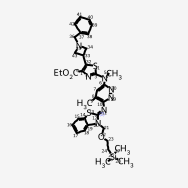 CCOC(=O)c1nc(N(C)c2cc(C)c(/N=c3\sc4ccccc4n3COCC[Si](C)(C)C)nn2)sc1C1CN(Cc2ccccc2)C1